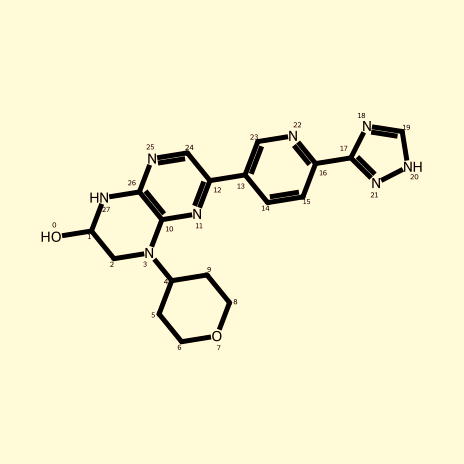 OC1CN(C2CCOCC2)c2nc(-c3ccc(-c4nc[nH]n4)nc3)cnc2N1